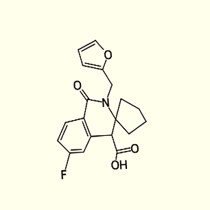 O=C(O)C1c2cc(F)ccc2C(=O)N(Cc2ccco2)C12CCCC2